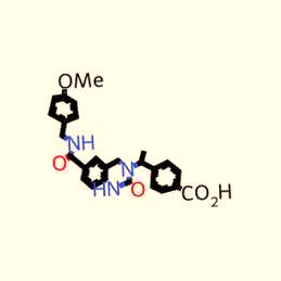 COc1ccc(CNC(=O)c2ccc3c(c2)CN(C(C)c2ccc(C(=O)O)cc2)C(=O)N3)cc1